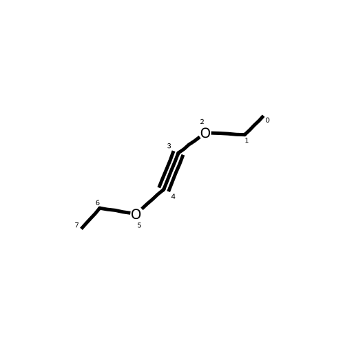 CCOC#COCC